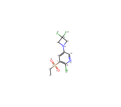 CCS(=O)(=O)c1cc(N2CC(F)(F)C2)cnc1Br